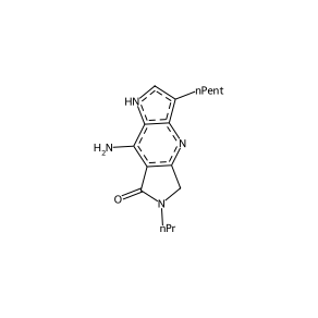 CCCCCc1c[nH]c2c(N)c3c(nc12)CN(CCC)C3=O